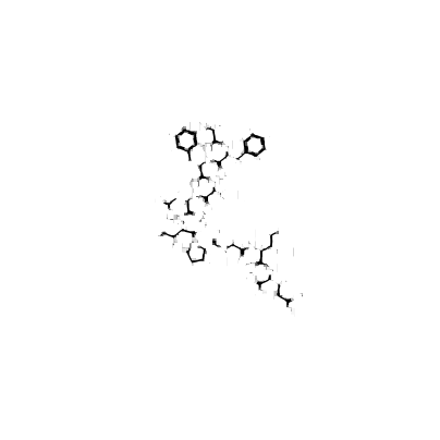 CC[C@H](C)[C@H](NC(=O)CNC(=O)[C@@H]1CCCN1C(=O)[C@@H](NC(=O)[C@H](CC(C)C)NC(=O)[C@H](C)NC(=O)[C@H](Cc1ccccc1)NC(=O)[C@H](Cc1ccccc1)NC(=O)CN)[C@@H](C)CC)C(=O)N[C@@H](CCC(=O)O)C(=O)O